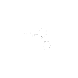 C[N+]1(c2ccccc2)C=CC=NC1=NN